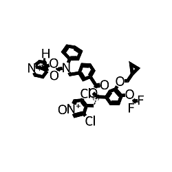 O=C(O[C@@H](Cc1c(Cl)c[n+]([O-])cc1Cl)c1ccc(OC(F)F)c(OCC2CC2)c1)c1cccc(CN(C(=O)O[C@H]2CN3CCC2CC3)c2ccccc2)c1